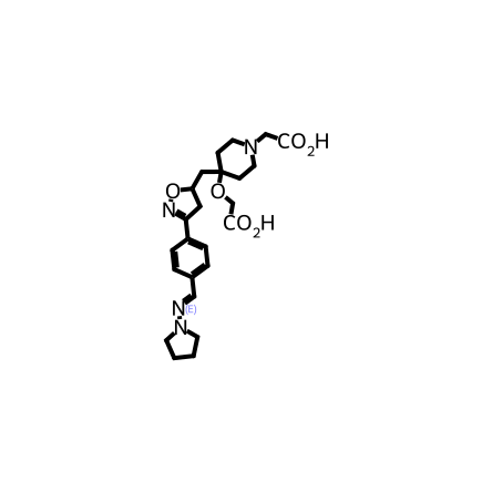 O=C(O)COC1(CC2CC(c3ccc(/C=N/N4CCCC4)cc3)=NO2)CCN(CC(=O)O)CC1